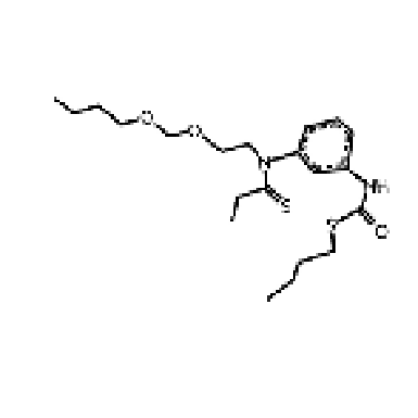 CCCCOCOCCN(C(=S)CC)c1cccc(NC(=O)SCCCC)c1